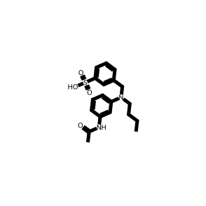 CCCCN(Cc1cccc(S(=O)(=O)O)c1)c1cccc(NC(C)=O)c1